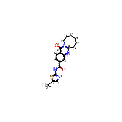 Cc1cnc(NC(=O)c2ccc3c(=O)n4c(nc3c2)CCCCCC4)s1